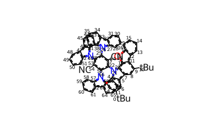 CC(C)(C)c1ccc2c(c1)c1cc(C(C)(C)C)c3c4ccccc4oc3c1n2-c1c(C#N)c(-n2c3ccccc3c3ccccc32)c(-n2c3ccccc3c3ccccc32)c(C#N)c1-n1c2ccccc2c2ccccc21